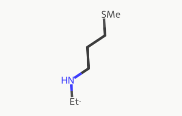 C[CH]NCCCSC